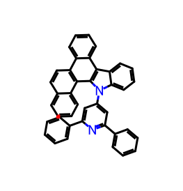 c1ccc(-c2cc(-n3c4ccccc4c4c5ccccc5c5ccc6ccccc6c5c43)cc(-c3ccccc3)n2)cc1